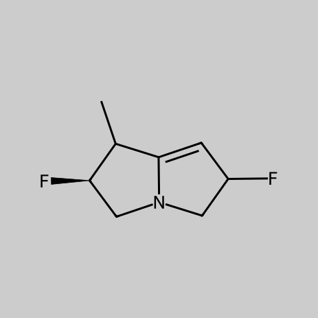 CC1C2=CC(F)CN2C[C@H]1F